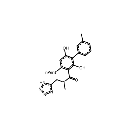 CCCCCc1cc(O)c(-c2cccc(C)c2)c(O)c1C(=O)N(C)Cc1nnn[nH]1